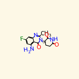 Cc1nc2cc(F)cc(N)c2c(=O)n1[C@H]1CCC(=O)NC1=O